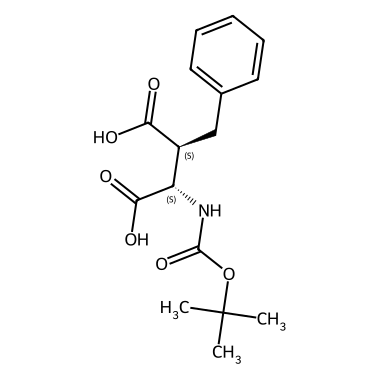 CC(C)(C)OC(=O)N[C@H](C(=O)O)[C@H](Cc1ccccc1)C(=O)O